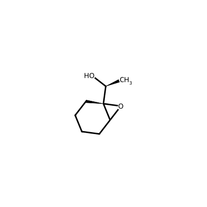 C[C@H](O)[C@@]12CCCCC1O2